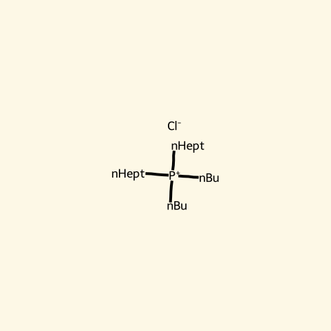 CCCCCCC[P+](CCCC)(CCCC)CCCCCCC.[Cl-]